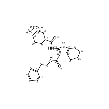 O=C(NCCc1ccccc1)c1c(NC(=O)C2CCCCC2)sc2c1CCCC2.O=C(O)O